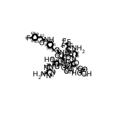 Nc1ccn([C@@H]2O[C@H](COP(=O)(O)O)[C@@H](OP(=O)(O)OC[C@H]3O[C@@H](n4cnc5c(N)ncnc54)[C@H](O)[C@@H]3CC(=O)[C@H](COCC(F)C(F)(F)F)NC(=O)OCc3ccc(NC(=O)Cc4ccc(F)cc4)cc3)[C@H]2O)c(=O)n1